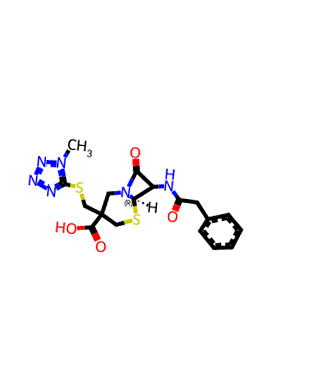 Cn1nnnc1SCC1(C(=O)O)CS[C@@H]2C(NC(=O)Cc3ccccc3)C(=O)N2C1